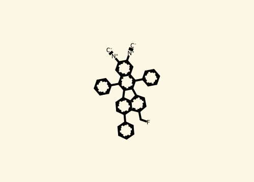 [C-]#[N+]c1cc2c(-c3ccccc3)c3c(c(-c4ccccc4)c2cc1[N+]#[C-])-c1ccc(-c2ccccc2)c2c(CF)ccc-3c12